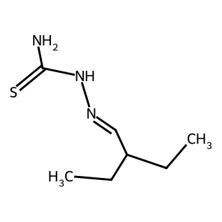 CCC(C=NNC(N)=S)CC